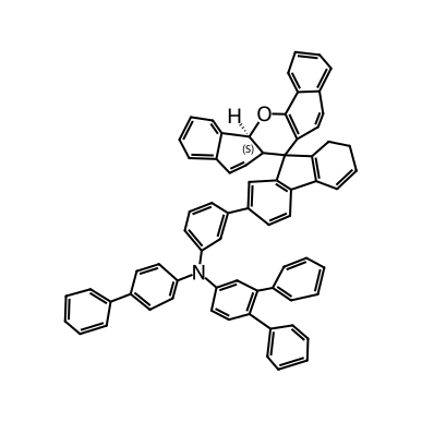 C1=CC2=C(CC1)C1(c3cc(-c4cccc(N(c5ccc(-c6ccccc6)cc5)c5ccc(-c6ccccc6)c(-c6ccccc6)c5)c4)ccc32)c2ccc3ccccc3c2O[C@@H]2c3ccccc3C=CC21